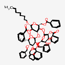 CCCCCCCCO[C@@H]1O[C@H](COC(=O)c2ccccc2)[C@@H](O[C@@H]2O[C@H](COC(=O)c3ccccc3)[C@H](O)[C@H](O)[C@H]2OC(=O)c2ccccc2)[C@H](O[C@@H]2O[C@@H](C)[C@@H](OCc3ccccc3)[C@@H](OCc3ccccc3)[C@@H]2OCc2ccccc2)[C@H]1OC(=O)c1ccccc1